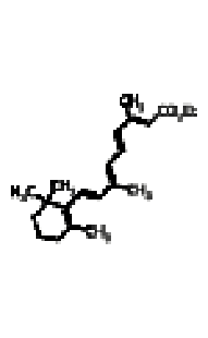 CCOC(=O)C=C(C)C=CC=C(C)C=CC1=C(C)CCCC1(C)C